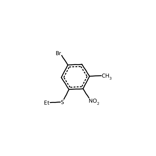 CCSc1cc(Br)cc(C)c1[N+](=O)[O-]